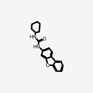 O=C(Nc1ccc2c(c1)oc1ccccc12)NC1CCCCC1